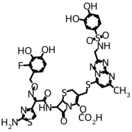 Cc1cc(SCC2=C(OC(=O)O)N3C(=O)C(NC(=O)/C(=N\OCc4ccc(O)c(O)c4F)c4csc(N)n4)C3SC2)n2nc(CNS(=O)(=O)c3ccc(O)c(O)c3)nc2n1